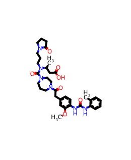 COc1cc(CC(=O)N2CCCN(C(=O)N(CCCN3CCCC3=O)C(C)CC(=O)O)CC2)ccc1NC(=O)Nc1ccccc1C